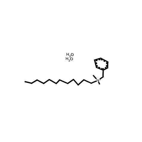 CCCCCCCCCCCC[N+](C)(C)Cc1ccccc1.O.O